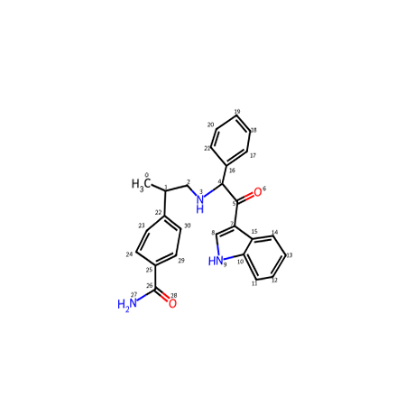 CC(CNC(C(=O)c1c[nH]c2ccccc12)c1ccccc1)c1ccc(C(N)=O)cc1